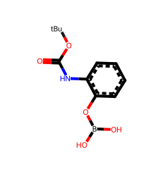 CC(C)(C)OC(=O)Nc1ccccc1OB(O)O